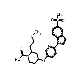 COCCC1CC(Oc2ccc(-n3ccc4cc(S(C)(=O)=O)ccc43)nc2)CCN1C(=O)O